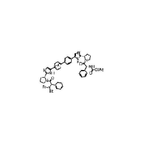 CCN(CC)[C@@H](C(=O)N1CCC[C@H]1c1ncc(C23CCC(c4ccc(-c5cnc([C@@H]6CCCN6C(=O)[C@H](NC(=O)OC)c6ccccc6)[nH]5)cc4)(CC2)CC3)[nH]1)c1ccccc1